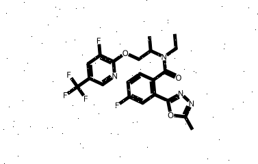 CCN(C(=O)c1ccc(F)cc1-c1nnc(C)o1)C(C)COc1ncc(C(F)(F)F)cc1F